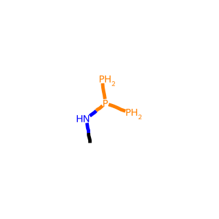 CNP(P)P